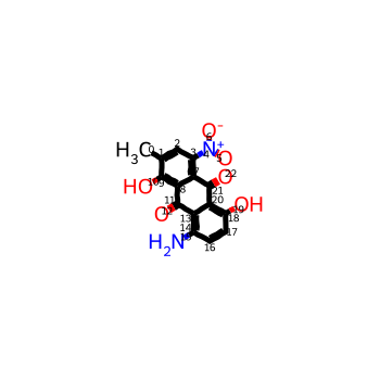 Cc1cc([N+](=O)[O-])c2c(c1O)C(=O)c1c(N)ccc(O)c1C2=O